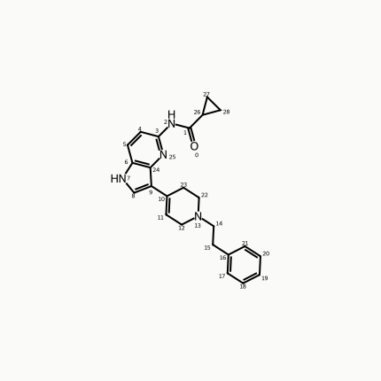 O=C(Nc1ccc2[nH]cc(C3=CCN(CCc4ccccc4)CC3)c2n1)C1CC1